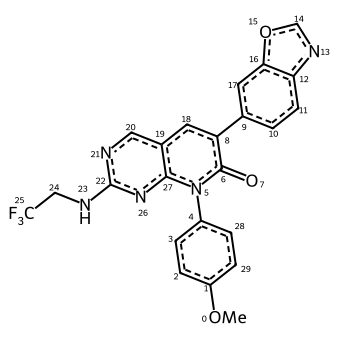 COc1ccc(-n2c(=O)c(-c3ccc4ncoc4c3)cc3cnc(NCC(F)(F)F)nc32)cc1